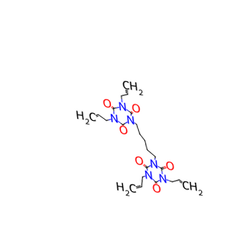 C=CCn1c(=O)n(CC=C)c(=O)n(CCCCCn2c(=O)n(CC=C)c(=O)n(CC=C)c2=O)c1=O